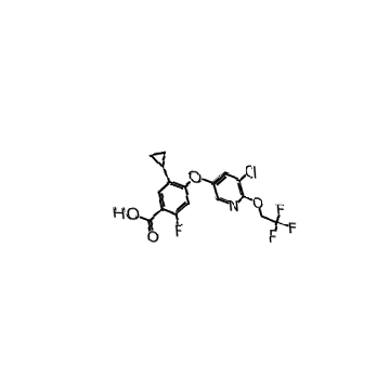 O=C(O)c1cc(C2CC2)c(Oc2cnc(OCC(F)(F)F)c(Cl)c2)cc1F